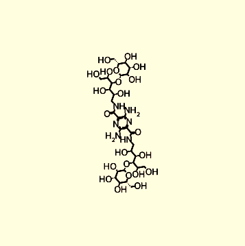 Nc1nc(C(=O)NC[C@H](O)[C@@H](O)[C@H](O[C@@H]2O[C@H](CO)[C@@H](O)[C@H](O)[C@H]2O)[C@H](O)CO)c(N)nc1C(=O)NC[C@H](O)[C@@H](O)[C@H](O[C@@H]1O[C@H](CO)[C@@H](O)[C@H](O)[C@H]1O)[C@H](O)CO